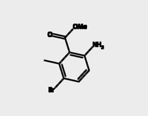 COC(=O)c1c(N)ccc(Br)c1C